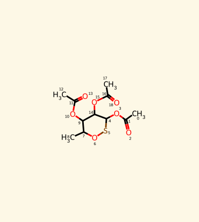 CC(=O)OC1SOC(C)C(OC(C)=O)C1OC(C)=O